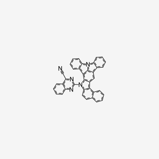 N#Cc1nc(-n2c3ccc4ccccc4c3c3cc4c5ccccc5n5c6ccccc6c(c32)c45)nc2ccccc12